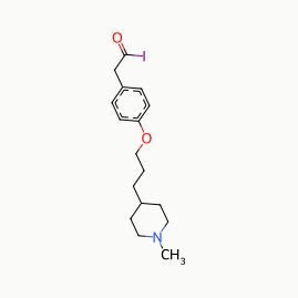 CN1CCC(CCCOc2ccc(CC(=O)I)cc2)CC1